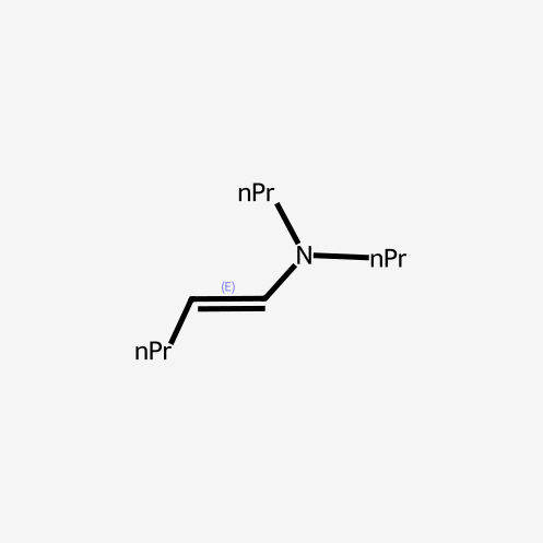 CCC/C=C/N(CCC)CCC